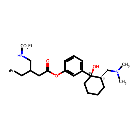 CCOC(=O)NCC(CC(=O)Oc1cccc([C@@]2(O)CCCC[C@H]2CN(C)C)c1)CC(C)C